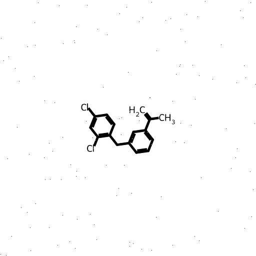 C=C(C)c1cccc(Cc2ccc(Cl)cc2Cl)c1